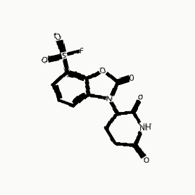 O=C1CCC(n2c(=O)oc3c(S(=O)(=O)F)cccc32)C(=O)N1